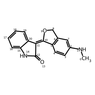 CNc1ccc2c(c1)COC2=C1C(=O)Nc2ccccc21